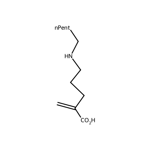 C=C(CCCNCCCCCC)C(=O)O